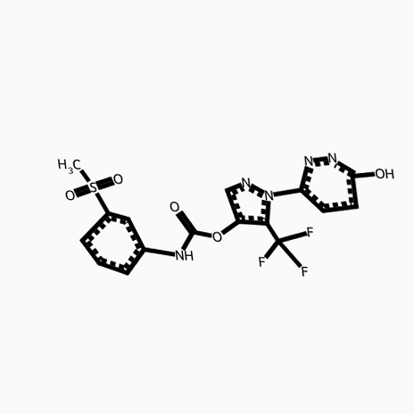 CS(=O)(=O)c1cccc(NC(=O)Oc2cnn(-c3ccc(O)nn3)c2C(F)(F)F)c1